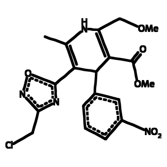 COCC1=C(C(=O)OC)C(c2cccc([N+](=O)[O-])c2)C(c2nc(CCl)no2)=C(C)N1